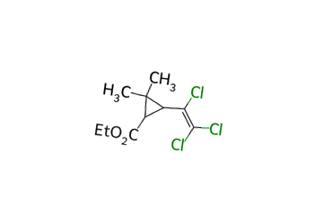 CCOC(=O)C1C(C(Cl)=C(Cl)Cl)C1(C)C